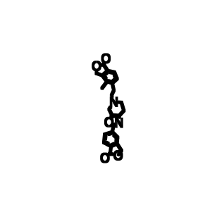 Cc1c(CCN2CCc3nc(-c4ccc5c(c4)COC5=O)oc3C2)ccc2c1COC2=O